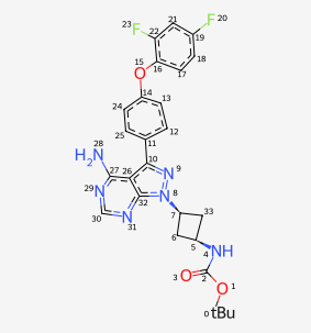 CC(C)(C)OC(=O)N[C@H]1C[C@@H](n2nc(-c3ccc(Oc4ccc(F)cc4F)cc3)c3c(N)ncnc32)C1